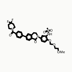 COCCOCOc1ccc(N2CCc3cc(-c4ccc(C(=O)N5CCC(F)(F)CC5)cc4)ccc3C2=O)cc1NS(C)(=O)=O